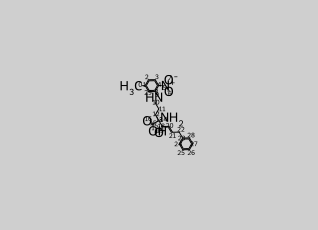 Cc1ccc([N+](=O)[O-])c(NCCC[C@@](N)(C(=O)O)C(=O)/C=C/Cc2ccccc2)c1